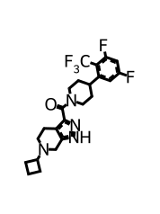 O=C(c1n[nH]c2c1CCN(C1CCC1)C2)N1CCC(c2cc(F)cc(F)c2C(F)(F)F)CC1